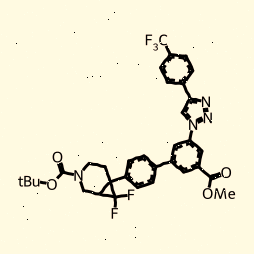 COC(=O)c1cc(-c2ccc(C34CCN(C(=O)OC(C)(C)C)CC3C4(F)F)cc2)cc(-n2cc(-c3ccc(C(F)(F)F)cc3)nn2)c1